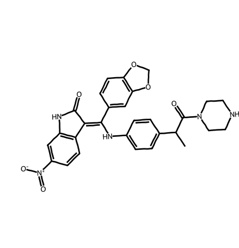 CC(C(=O)N1CCNCC1)c1ccc(NC(=C2C(=O)Nc3cc([N+](=O)[O-])ccc32)c2ccc3c(c2)OCO3)cc1